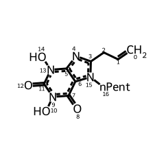 C=CCc1nc2c(c(=O)n(O)c(=O)n2O)n1CCCCC